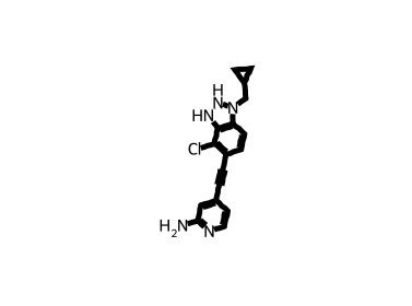 Nc1cc(C#Cc2ccc3c(c2Cl)NNN3CC2CC2)ccn1